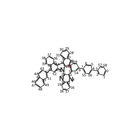 c1ccc(-c2ccc(-c3cccc(-c4nc5ccccc5nc4-n4c5ccc6ccccc6c5c5c6ccccc6c(-c6ccc7ccccc7c6)cc54)c3)cc2)cc1